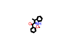 COc1ccccc1C(=O)c1[nH]c2ccccc2c1C